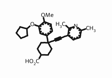 COc1ccc(C2(C#Cc3ccc(C)nc3C)CCC(C(=O)O)CC2)cc1OC1CCCC1